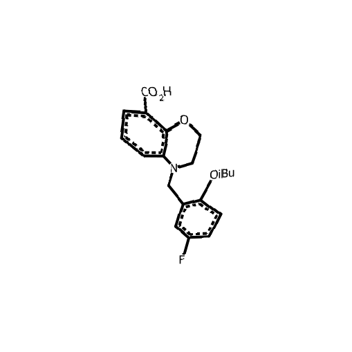 CC(C)COc1ccc(F)cc1CN1CCOc2c(C(=O)O)cccc21